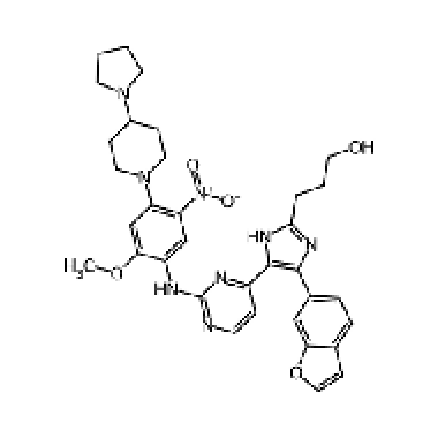 COc1cc(N2CCC(N3CCCC3)CC2)c([N+](=O)[O-])cc1Nc1nccc(-c2[nH]c(CCCO)nc2-c2ccc3ccoc3c2)n1